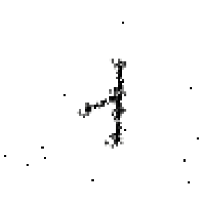 CNC(=O)COCCOCCNC(=O)C(CCCCNC(=O)COCCOCCNC(C)=O)NC(=O)COCCOCCNC(C)=O